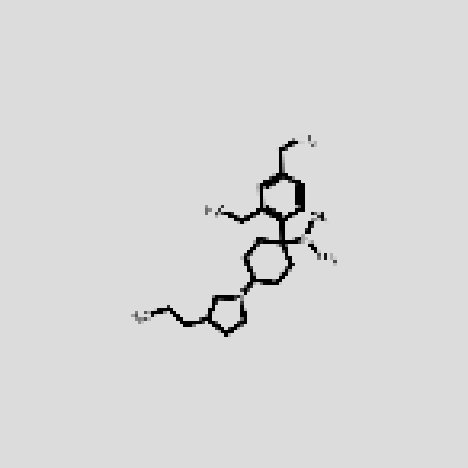 CCCC1CCN(C2CCC(c3ccc(CC)cc3CC)(N(C)C)CC2)C1